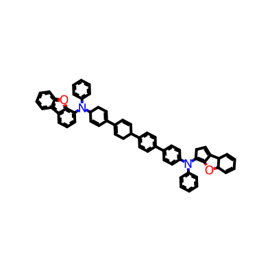 C1=CC2OC3=C(N(c4ccccc4)c4ccc(-c5ccc(C6C=CC(C7=CCC(N(c8ccccc8)c8cccc9c8oc8ccccc89)C=C7)=CC6)cc5)cc4)CC=C3C2C=C1